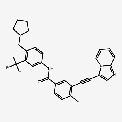 Cc1ccc(C(=O)Nc2ccc(CN3CCCC3)c(C(F)(F)F)c2)cc1C#Cc1cnc2ccccn12